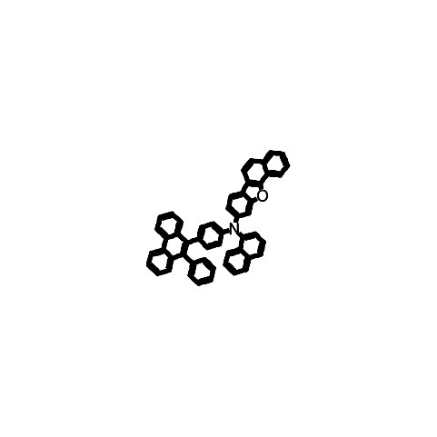 c1ccc(-c2c(-c3ccc(N(c4ccc5c(c4)oc4c6ccccc6ccc54)c4cccc5ccccc45)cc3)c3ccccc3c3ccccc23)cc1